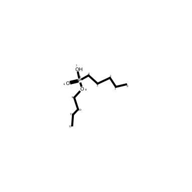 CCCCCP(=O)(O)OCCCC